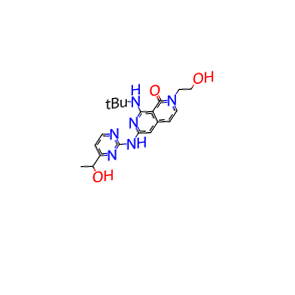 CC(O)c1ccnc(Nc2cc3ccn(CCO)c(=O)c3c(NC(C)(C)C)n2)n1